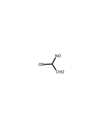 O=CC(N=O)N=O